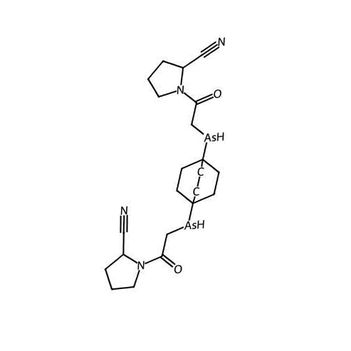 N#CC1CCCN1C(=O)C[AsH]C12CCC([AsH]CC(=O)N3CCCC3C#N)(CC1)CC2